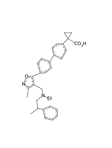 CCN(Cc1c(C)noc1-c1ccc(-c2ccc(C3(C(=O)O)CC3)cc2)cc1)CC(C)c1ccccc1